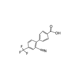 N#Cc1cc(C(F)(F)F)ccc1-c1ccc(C(=O)O)cc1